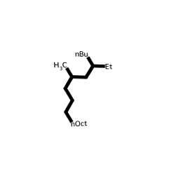 CCCCCCCCCCCC(C)CC(CC)CCCC